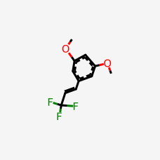 COc1cc(C=CC(F)(F)F)cc(OC)c1